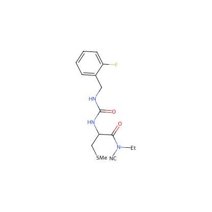 CCN(C#N)C(=O)C(CSC)NC(=O)NCc1ccccc1F